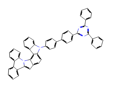 c1ccc(-c2nc(-c3ccccc3)nc(-c3ccc(-c4ccc(-n5c6ccccc6c6c5ccc5cc7c8ccccc8c8ccccc8n7c56)cc4)cc3)n2)cc1